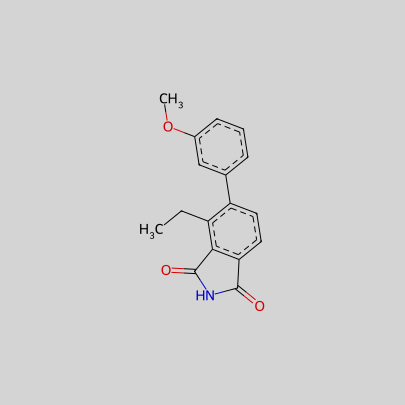 CCc1c(-c2cccc(OC)c2)ccc2c1C(=O)NC2=O